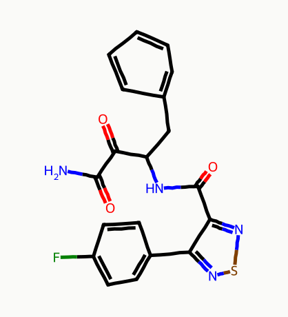 NC(=O)C(=O)C(Cc1ccccc1)NC(=O)c1nsnc1-c1ccc(F)cc1